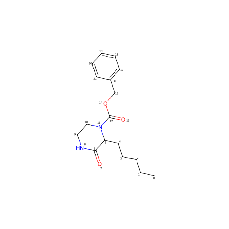 CCCCCC1C(=O)NCCN1C(=O)OCc1ccccc1